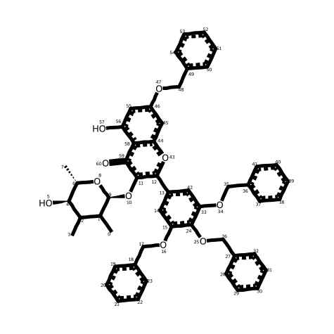 CC1C(C)[C@@H](O)[C@H](C)O[C@H]1Oc1c(-c2cc(OCc3ccccc3)c(OCc3ccccc3)c(OCc3ccccc3)c2)oc2cc(OCc3ccccc3)cc(O)c2c1=O